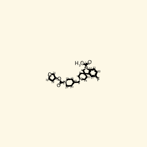 CC(=O)N1CC2(CCN(CC3CCN(C(=O)O[C@H]4CCOC4)CC3)CC2)c2cc(F)ccc21